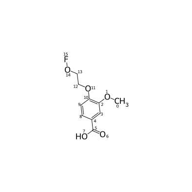 COc1cc(C(=O)O)ccc1OCCOF